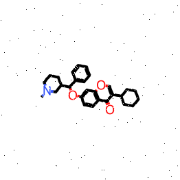 CN1CCCC(C(Oc2ccc3c(=O)c(C4CCCCC4)coc3c2)c2ccccc2)C1